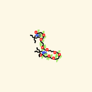 C=CCC(CC=C)(CC=C)CNC(=O)C(F)(F)CC(F)(F)OC(F)(F)COCC(F)(F)CC(F)(F)OC(F)(F)COCCCCOCC(F)(F)OC(F)(F)CC(F)(F)COCC(F)(F)OC(F)(F)CC(F)(F)C(=O)NCC(CC=C)(CC=C)CC=C